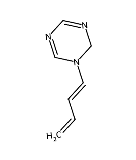 C=CC=CN1C=NC=NC1